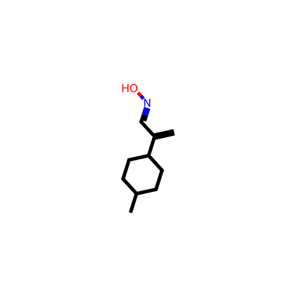 C=C(C=NO)C1CCC(C)CC1